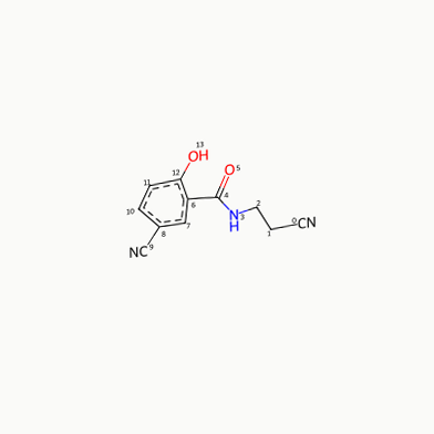 N#CCCNC(=O)c1cc(C#N)ccc1O